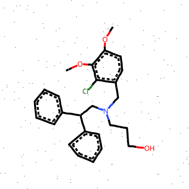 COc1ccc(CN(CCCO)CC(c2ccccc2)c2ccccc2)c(Cl)c1OC